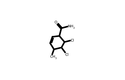 CC1C=CC(C(N)=O)C(Cl)C1Cl